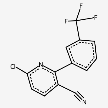 N#Cc1ccc(Cl)nc1-c1cccc(C(F)(F)F)c1